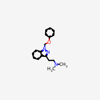 CN(C)CCc1nn(COc2ccccc2)c2ccccc12